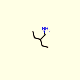 CC[C](CC)CN